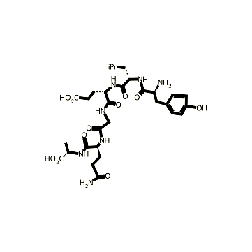 CC(C)C[C@H](NC(=O)[C@@H](N)Cc1ccc(O)cc1)C(=O)N[C@@H](CCC(=O)O)C(=O)NCC(=O)N[C@@H](CCC(N)=O)C(=O)N[C@@H](C)C(=O)O